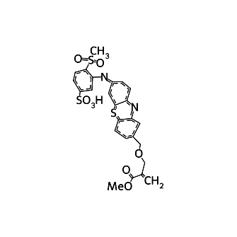 C=C(COCc1ccc2sc3c/c(=N\c4cc(S(=O)(=O)O)ccc4S(C)(=O)=O)ccc-3nc2c1)C(=O)OC